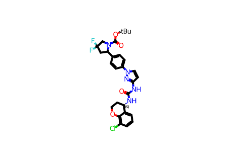 CC(C)(C)OC(=O)N1CC(F)(F)CC1c1ccc(-n2ccc(NC(=O)N[C@H]3CCOc4c(Cl)cccc43)n2)cc1